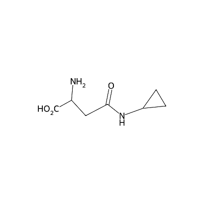 NC(CC(=O)NC1CC1)C(=O)O